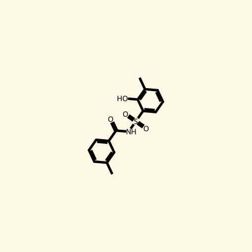 Cc1cccc(C(=O)NS(=O)(=O)c2cccc(C)c2O)c1